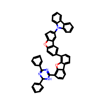 c1ccc(C2=NC(c3ccccc3)NC(c3cccc4c3oc3c(-c5ccc6oc7ccc(-n8c9ccccc9c9ccccc98)cc7c6c5)cccc34)=N2)cc1